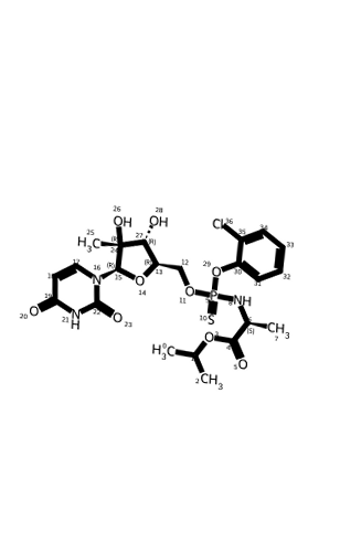 CC(C)OC(=O)[C@H](C)NP(=S)(OC[C@H]1O[C@@H](n2ccc(=O)[nH]c2=O)[C@](C)(O)[C@@H]1O)Oc1ccccc1Cl